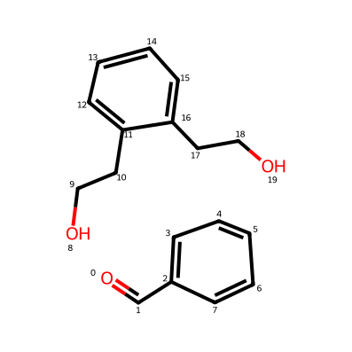 O=Cc1ccccc1.OCCc1ccccc1CCO